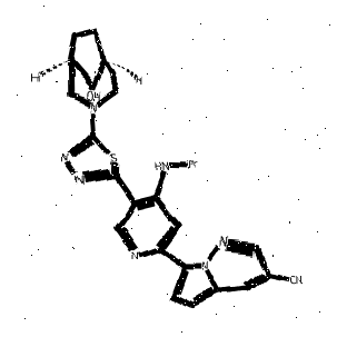 CC(C)Nc1cc(-c2ccc3cc(C#N)cnn23)ncc1-c1nnc(N2C[C@H]3CC[C@@H](C2)C3O)s1